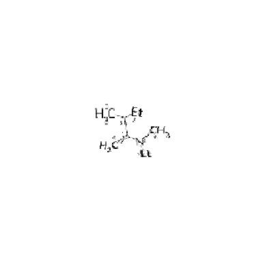 C=C(C(C)CC)N(C)CC